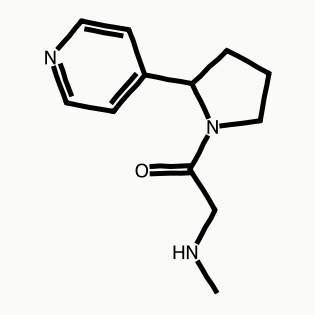 CNCC(=O)N1CCCC1c1ccncc1